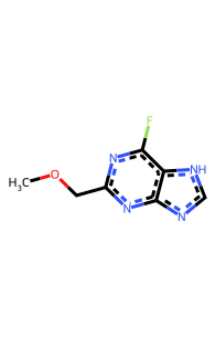 COCc1nc(F)c2[nH]cnc2n1